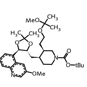 COc1cnc2cccc([C@H]3OC(C)(C)O[C@@H]3C[C@@H]3CCN(C(=O)OC(C)(C)C)C[C@@H]3CCOC(C)(C)OC)c2c1